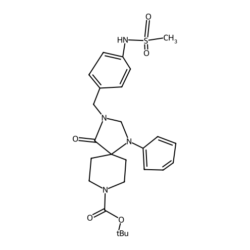 CC(C)(C)OC(=O)N1CCC2(CC1)C(=O)N(Cc1ccc(NS(C)(=O)=O)cc1)CN2c1ccccc1